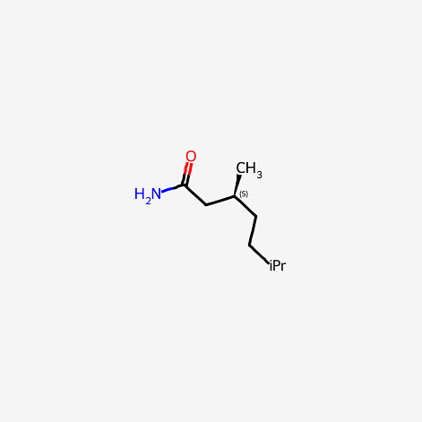 CC(C)CC[C@H](C)CC(N)=O